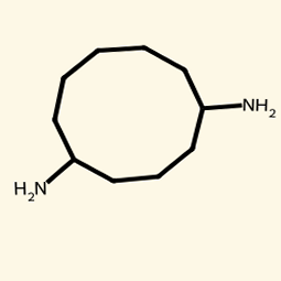 NC1CCCCCC(N)CCC1